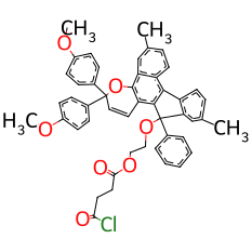 COc1ccc(C2(c3ccc(OC)cc3)C=Cc3c4c(c5ccc(C)cc5c3O2)-c2ccc(C)cc2C4(OCCOC(=O)CCC(=O)Cl)c2ccccc2)cc1